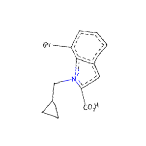 CC(C)c1cccc2cc(C(=O)O)n(CC3CC3)c12